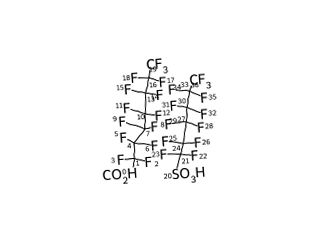 O=C(O)C(F)(F)C(F)(F)C(F)(F)C(F)(F)C(F)(F)C(F)(F)C(F)(F)F.O=S(=O)(O)C(F)(F)C(F)(F)C(F)(F)C(F)(F)C(F)(F)C(F)(F)F